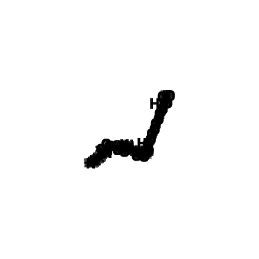 COc1cc2c(cc1OCCCOc1cc3c(cc1OC)C(=O)N1C=C(c4ccc(NC(=O)[C@H](C)NC(=O)C(NC(=O)CCOCCOCCOCCOCCOCCOCCOCCOCCNC(=O)CCN5C(=O)C=CC5=O)C(C)C)cc4)C[C@H]1C=N3)N=CC1CC(c3ccc(N4CCN(C)CC4)cc3)=CN1C2=O